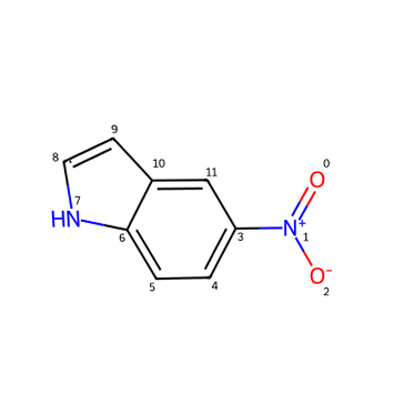 O=[N+]([O-])c1ccc2[nH][c]cc2c1